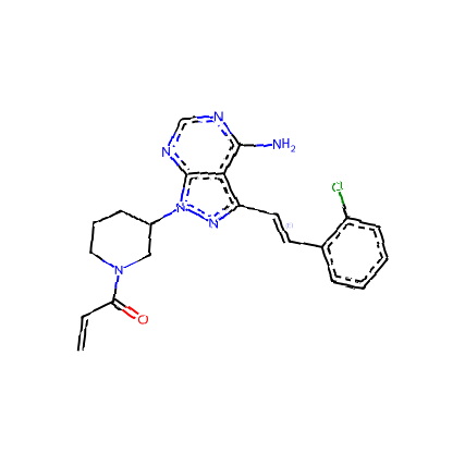 C=CC(=O)N1CCCC(n2nc(/C=C/c3ccccc3Cl)c3c(N)ncnc32)C1